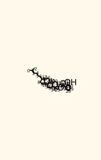 CC(C)=CCCCC1CCC2(C)C3=C(CCC12C)C1(C)CCC(OC(=O)c2ccccc2O)C(C)(C)C1CC3